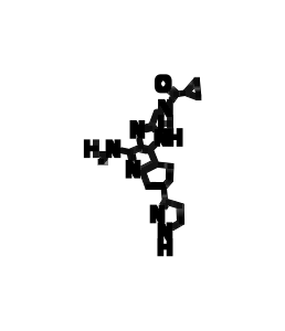 Nc1nc2cc(-c3cc[nH]n3)ccc2c2[nH]c(CNC(=O)C3CC3)nc12